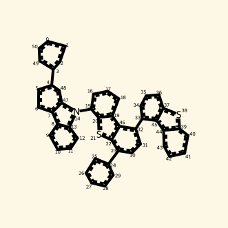 c1ccc(-c2ccc3c4ccccc4n(-c4cccc5c4sc4c(-c6ccccc6)ccc(-c6cccc7sc8ccccc8c67)c45)c3c2)cc1